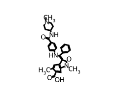 Cc1cc2c(cc1C(=O)O)N(C)C(=O)C2=C(Nc1ccc(C(=O)NC2CCN(C)CC2)cc1)c1ccccc1